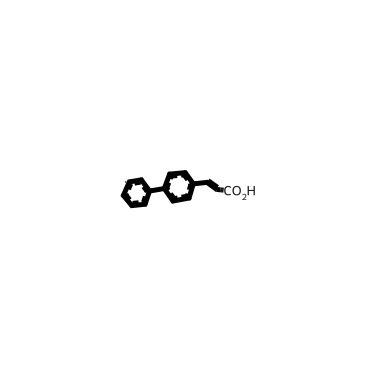 O=C(O)C=Cc1ccc(-c2c[c]ccc2)cc1